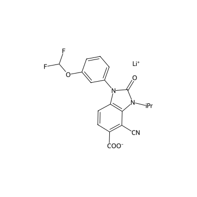 CC(C)n1c(=O)n(-c2cccc(OC(F)F)c2)c2ccc(C(=O)[O-])c(C#N)c21.[Li+]